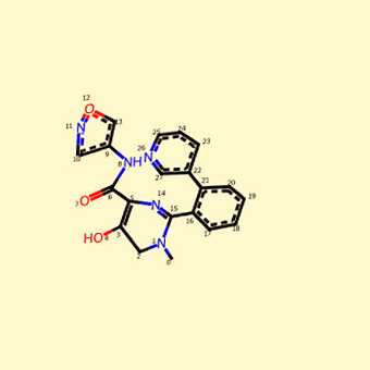 CN1CC(O)=C(C(=O)Nc2cnoc2)N=C1c1ccccc1-c1cccnc1